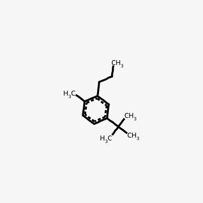 CCCc1cc(C(C)(C)C)ccc1C